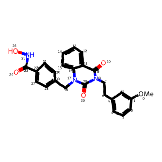 COc1cccc(CCn2c(=O)c3ccccc3n(Cc3ccc(C(=O)NO)cc3)c2=O)c1